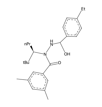 CCC[C@@H](N(NC(O)c1ccc(CC)cc1)C(=O)c1cc(C)cc(C)c1)C(C)(C)C